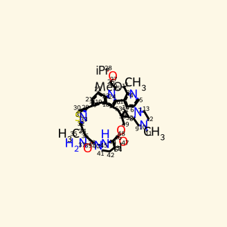 CO[C@@H](C)c1ncc(N2CCN(C)CC2)cc1-c1c2c3cc(ccc3n1CCOC(C)C)-c1csc(n1)[C@@H](C)[C@H](N)C(=O)N1CCC[C@H](N1)C(=O)OCC1(CC1)C2